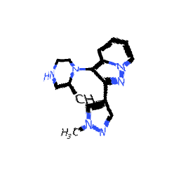 CC1CNCCN1c1c(-c2cnn(C)c2)nn2ccccc12